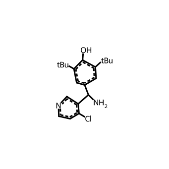 CC(C)(C)c1cc(C(N)c2cnccc2Cl)cc(C(C)(C)C)c1O